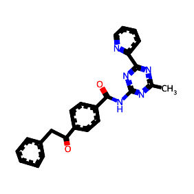 Cc1nc(NC(=O)c2ccc(C(=O)Cc3ccccc3)cc2)nc(-c2ccccn2)n1